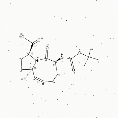 CC(C)(C)OC(=O)N[C@H]1CC/C=C\[C@H]2CC[C@@H](C(=O)O)N2C1=O